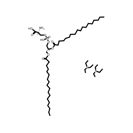 CCCCCCCCCCCCCCCCCC(=O)OC[C@H](COP(=O)(O)OC[C@@H](N)C(=O)O)OC(=O)CCCCCCCCCCCCCCCCC.CCN(CC)CC.CCN(CC)CC